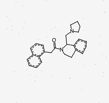 O=C(Cc1cccc2ccccc12)N1CCc2ccccc2C1CN1CCCC1